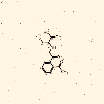 CC(=O)c1ccccc1C(=O)CN[C@H](CS)C(=O)O